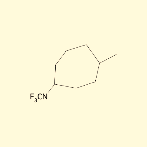 CC1CCCC(NC(F)(F)F)CC1